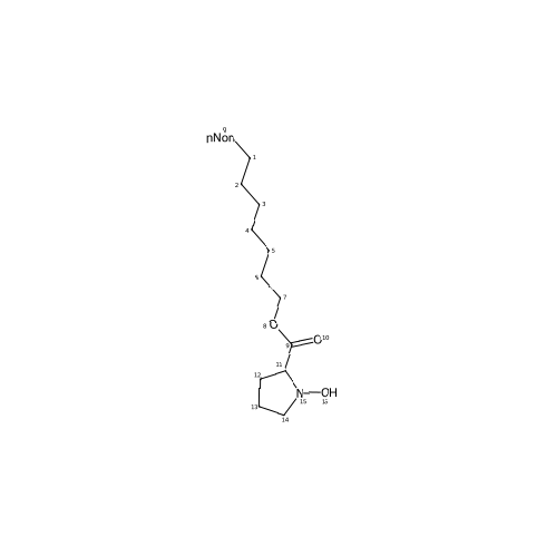 CCCCCCCCCCCCCCCCOC(=O)C1CCCN1O